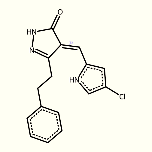 O=C1NN=C(CCc2ccccc2)/C1=C\c1cc(Cl)c[nH]1